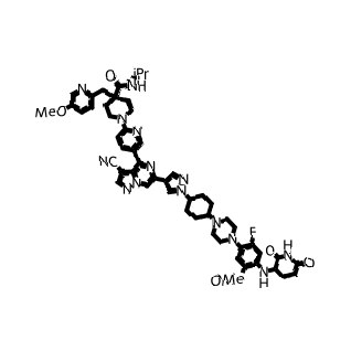 COc1ccc(CC2(C(=O)NC(C)C)CCN(c3ccc(-c4nc(-c5cnn(C6CCC(N7CCN(c8cc(OC)c(NC9CCC(=O)NC9=O)cc8F)CC7)CC6)c5)cn5ncc(C#N)c45)cn3)CC2)nc1